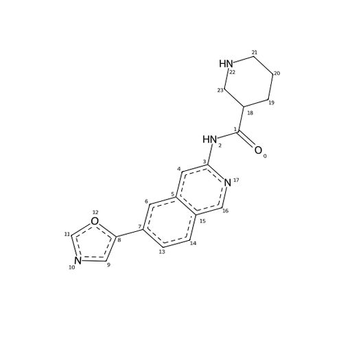 O=C(Nc1cc2cc(-c3cnco3)ccc2cn1)C1CCCNC1